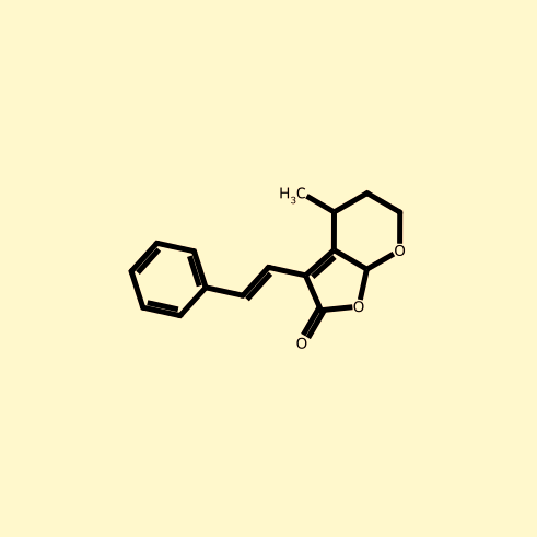 CC1CCOC2OC(=O)C(C=Cc3ccccc3)=C12